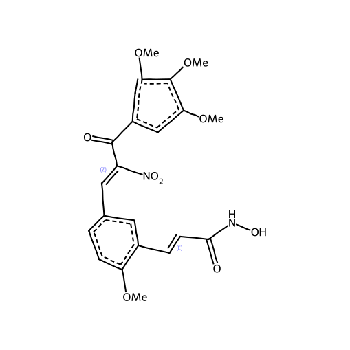 COc1ccc(/C=C(/C(=O)c2cc(OC)c(OC)c(OC)c2)[N+](=O)[O-])cc1/C=C/C(=O)NO